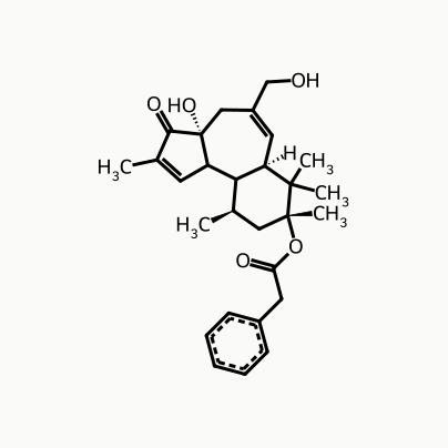 CC1=CC2C3[C@H](C)C[C@@](C)(OC(=O)Cc4ccccc4)C(C)(C)[C@@H]3C=C(CO)C[C@]2(O)C1=O